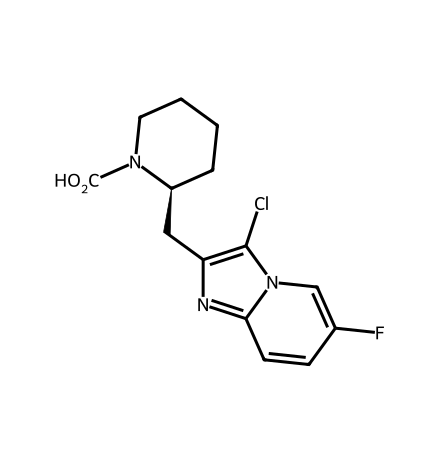 O=C(O)N1CCCC[C@H]1Cc1nc2ccc(F)cn2c1Cl